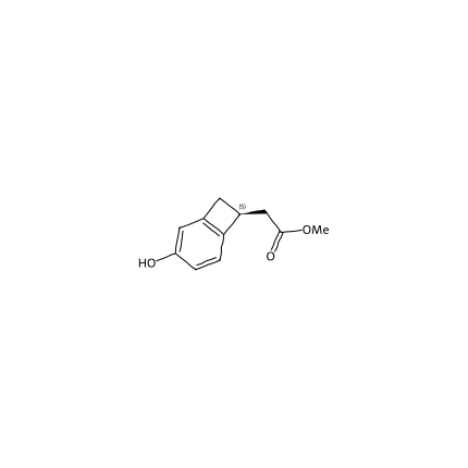 COC(=O)C[C@@H]1Cc2cc(O)ccc21